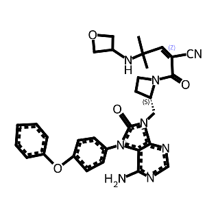 CC(C)(/C=C(/C#N)C(=O)N1CC[C@H]1Cn1c(=O)n(-c2ccc(Oc3ccccc3)cc2)c2c(N)ncnc21)NC1COC1